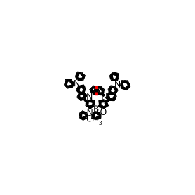 Cc1ccccc1N1c2cc3c4ccc5cc(N(c6ccccc6)c6ccccc6)ccc5c4n(-c4ccccc4)c3cc2B2c3cc4c(cc3Oc3cccc1c32)c1ccc2cc(N(c3ccccc3)c3ccccc3)ccc2c1n4-c1ccccc1